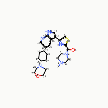 CN1CCN(C(=O)c2nc(-c3c[nH]c4ncc([C@H]5CC[C@@H](N6CCOCC6)CC5)cc34)cs2)CC1